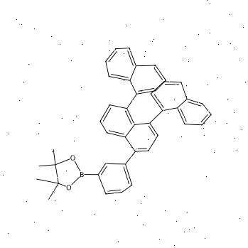 CC1(C)OB(c2cccc(-c3ccc(-c4cccc5ccccc45)c4c(-c5cccc6ccccc56)cccc34)c2)OC1(C)C